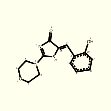 O=C1N=C(N2CCOCC2)SC1=Cc1ccccc1O